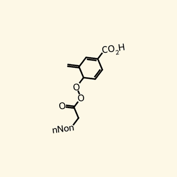 C=C1C=C(C(=O)O)C=CC1OOC(=O)CCCCCCCCCC